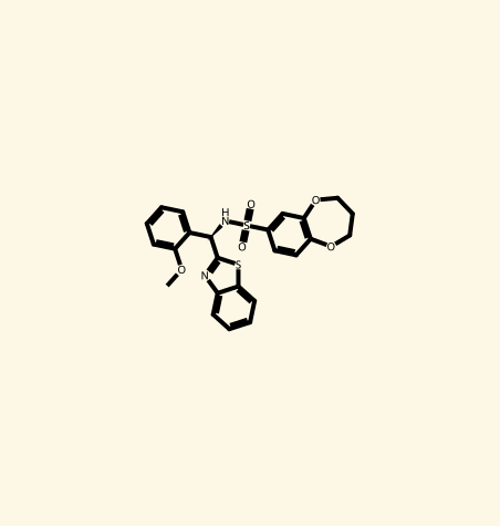 COc1ccccc1[C@@H](NS(=O)(=O)c1ccc2c(c1)OCCCO2)c1nc2ccccc2s1